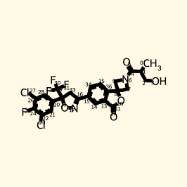 CC(CO)C(=O)N1CC2(C1)OC(=O)c1cc(C3=NOC(c4cc(Cl)c(F)c(Cl)c4)(C(F)(F)F)C3)ccc12